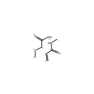 C=CC(=O)NC.COCC(=O)O